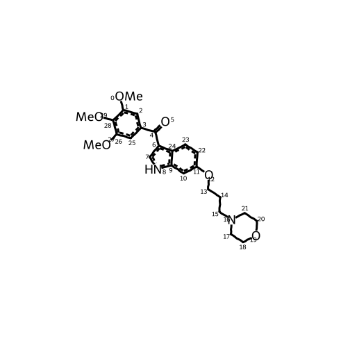 COc1cc(C(=O)c2c[nH]c3cc(OCCCN4CCOCC4)ccc23)cc(OC)c1OC